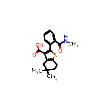 CNC(=O)c1ccccc1-c1sc2c(c1C(=O)O)CC(C)(C)CC2